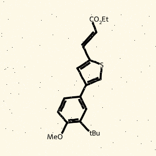 CCOC(=O)/C=C/c1cc(-c2ccc(OC)c(C(C)(C)C)c2)cs1